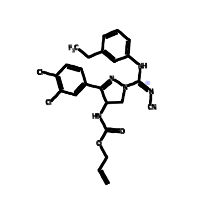 C=CCOC(=O)NC1CN(/C(=N\C#N)Nc2cccc(CC(F)(F)F)c2)N=C1c1ccc(Cl)c(Cl)c1